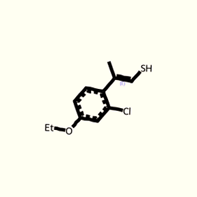 CCOc1ccc(/C(C)=C/S)c(Cl)c1